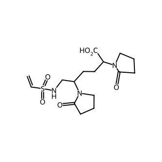 C=CS(=O)(=O)NCC(CCC(C(=O)O)N1CCCC1=O)N1CCCC1=O